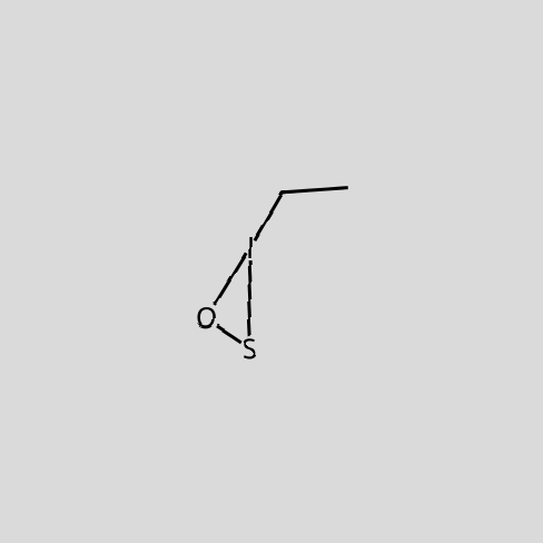 CCI1OS1